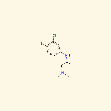 CC(CN(C)C)Nc1ccc(Cl)c(Cl)c1